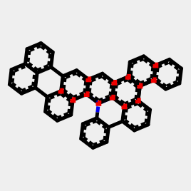 c1ccc(-c2ccc(N(c3ccc(-c4cccc5cccc(-c6ccccc6)c45)cc3)c3ccccc3-c3cccc(-c4ccccc4-c4ccccc4)c3)cc2)cc1